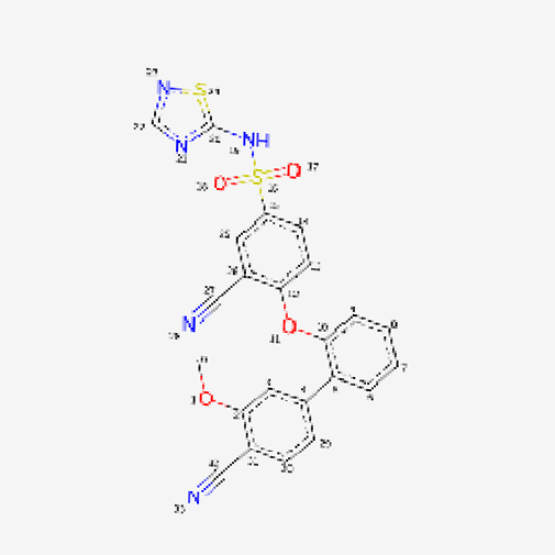 COc1cc(-c2ccccc2Oc2ccc(S(=O)(=O)Nc3ncns3)cc2C#N)ccc1C#N